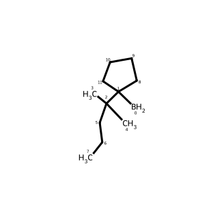 BC1(C(C)(C)CCC)CCCC1